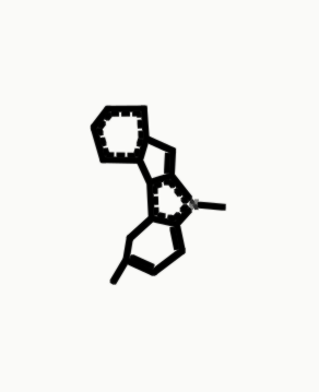 CC1=CC=c2c(c3c(n2C)=Cc2ccccc2-3)C1